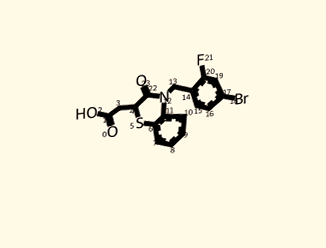 O=C(O)CC1Sc2ccccc2N(Cc2ccc(Br)cc2F)C1=O